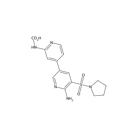 Nc1ncc(-c2ccnc(NC(=O)O)c2)cc1S(=O)(=O)N1CCCC1